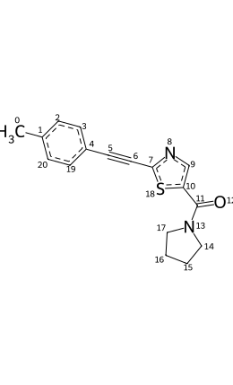 Cc1ccc(C#Cc2ncc(C(=O)N3CCCC3)s2)cc1